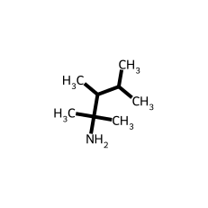 CC(C)C(C)C(C)(C)N